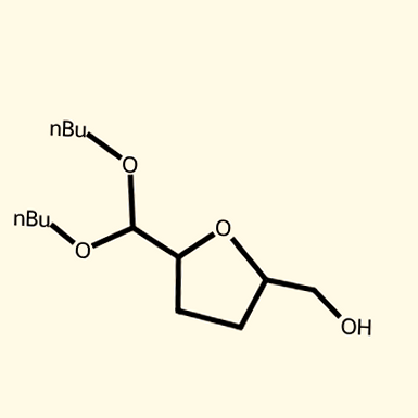 CCCCOC(OCCCC)C1CCC(CO)O1